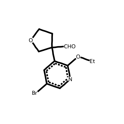 CCOc1ncc(Br)cc1C1(C=O)CCOC1